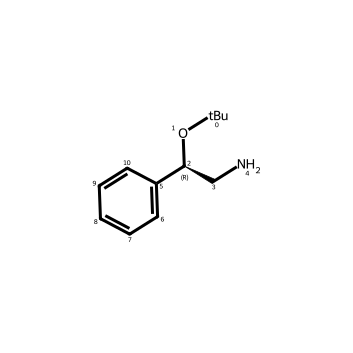 CC(C)(C)O[C@@H](CN)c1ccccc1